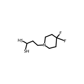 FC1(F)CCN(CCC(S)S)CC1